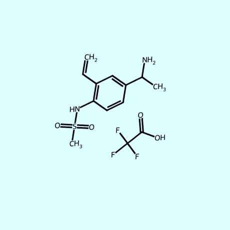 C=Cc1cc(C(C)N)ccc1NS(C)(=O)=O.O=C(O)C(F)(F)F